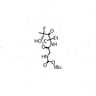 CCC(NC(=O)CNC(=O)OC(C)(C)C)(C(=O)O)C(=O)C(C)(F)F